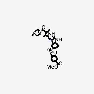 COC(=O)c1ccc(CS(=O)(=O)c2ccc3c(c2)/C(=C/c2[nH]c(C)c(C(=O)N4CCN(C)CC4)c2C)C(=O)N3)cc1